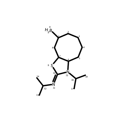 BC1CCCCC2C(C1)S/C(=N\C(C)C)N2C(C)C